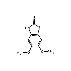 COc1cc2[nH]c(=O)sc2cc1OC